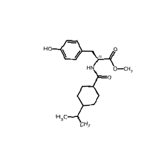 COC(=O)[C@H](Cc1ccc(O)cc1)NC(=O)C1CCC(C(C)C)CC1